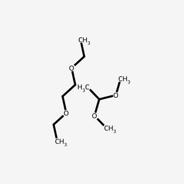 CCOCCOCC.COC(C)OC